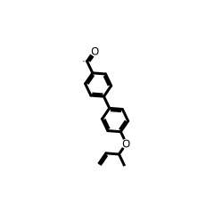 C=CC(C)Oc1ccc(-c2ccc([C]=O)cc2)cc1